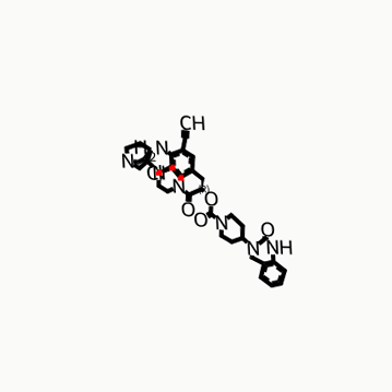 C#Cc1cc(C[C@@H](OC(=O)N2CCC(N3Cc4ccccc4NC3=O)CC2)C(=O)N2CCN(C3CN4CCC3CC4)CC2)cc(Cl)c1N